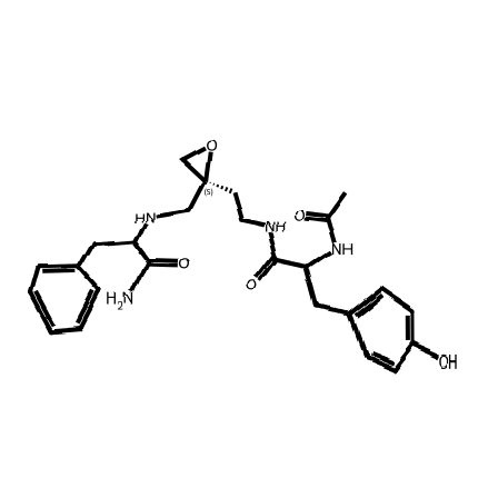 CC(=O)NC(Cc1ccc(O)cc1)C(=O)NCC[C@]1(CNC(Cc2ccccc2)C(N)=O)CO1